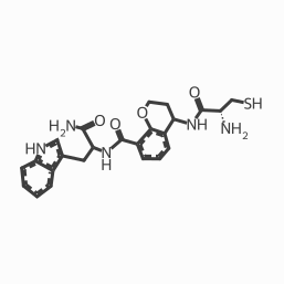 NC(=O)C(Cc1c[nH]c2ccccc12)NC(=O)c1cccc2c1OCCC2NC(=O)[C@@H](N)CS